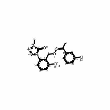 CC(=NOCc1c(-n2nnn(C)c2=O)cccc1C(F)(F)F)c1cccc(Cl)c1